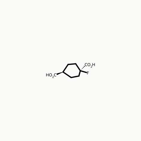 O=C(O)[C@H]1CC[C@](F)(C(=O)O)CC1